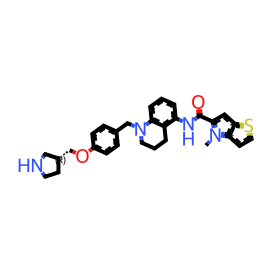 Cn1c(C(=O)Nc2cccc3c2CCCN3Cc2ccc(OC[C@@H]3CCNC3)cc2)cc2sccc21